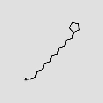 CCCCCCCCCCCCCCCCCCCCC1CCCC1